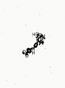 COC(=O)c1ccc(CNc2ccc(C3=N[C@@H](C(C)C(=O)O)c4nnc(C)n4-c4sc(C)c(C)c43)cc2)cc1